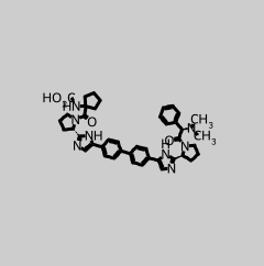 CN(C)[C@@H](C(=O)N1CCC[C@H]1c1ncc(-c2ccc(-c3ccc(-c4cnc([C@@H]5CCCN5C(=O)C5(NC(=O)O)CCCC5)[nH]4)cc3)cc2)[nH]1)c1ccccc1